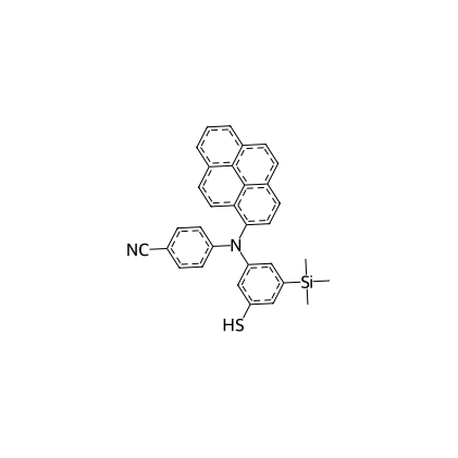 C[Si](C)(C)c1cc(S)cc(N(c2ccc(C#N)cc2)c2ccc3ccc4cccc5ccc2c3c45)c1